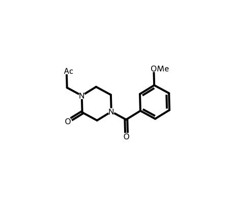 COc1cccc(C(=O)N2CCN(CC(C)=O)C(=O)C2)c1